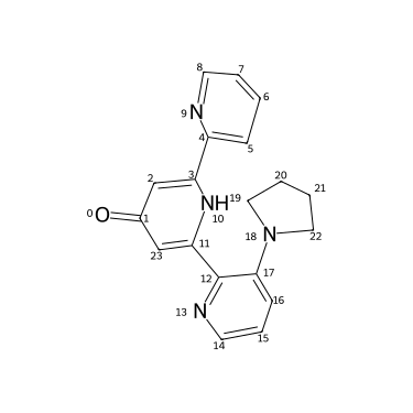 O=c1cc(-c2ccccn2)[nH]c(-c2ncccc2N2CCCC2)c1